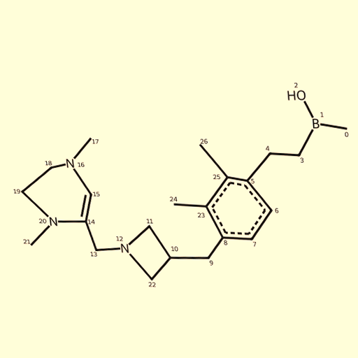 CB(O)CCc1ccc(CC2CN(CC3=CN(C)CCN3C)C2)c(C)c1C